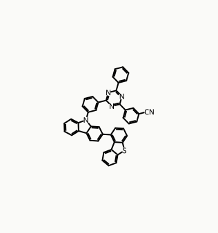 N#Cc1cccc(-c2nc(-c3ccccc3)nc(-c3cccc(-n4c5ccccc5c5ccc(-c6cccc7sc8ccccc8c67)cc54)c3)n2)c1